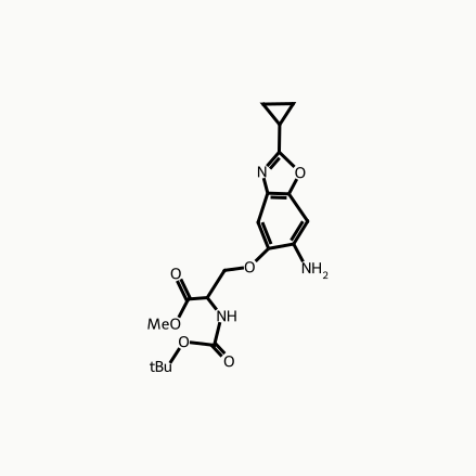 COC(=O)C(COc1cc2nc(C3CC3)oc2cc1N)NC(=O)OC(C)(C)C